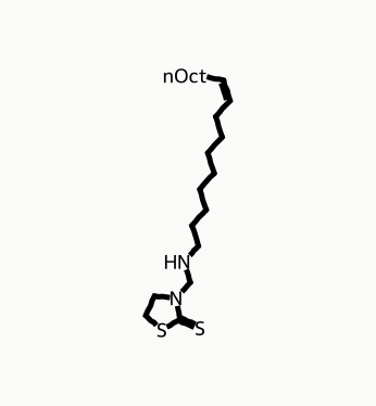 CCCCCCCC/C=C\CCCCCCCCNCN1CCSC1=S